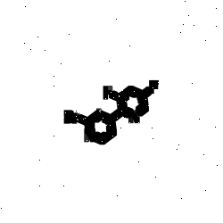 Fc1cnc(-c2[c]c(Br)ncc2)c(F)c1